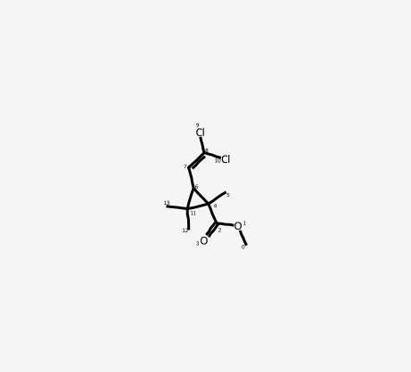 COC(=O)C1(C)C(C=C(Cl)Cl)C1(C)C